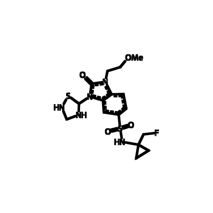 COCCn1c(=O)n(C2NCNS2)c2cc(S(=O)(=O)NC3(CF)CC3)ccc21